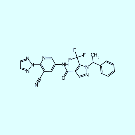 CC(c1ccccc1)n1ncc(C(=O)Nc2cnc(-n3nccn3)c(C#N)c2)c1C(F)(F)F